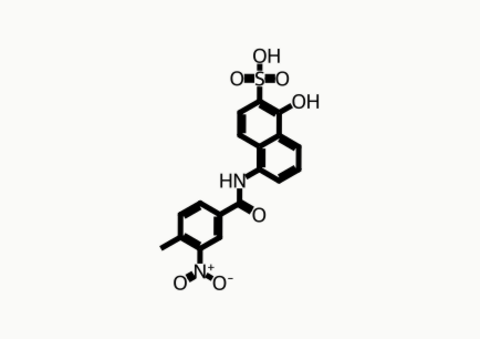 Cc1ccc(C(=O)Nc2cccc3c(O)c(S(=O)(=O)O)ccc23)cc1[N+](=O)[O-]